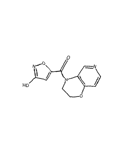 O=C(c1cc(O)no1)N1CCOc2ccncc21